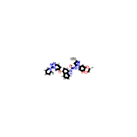 C[C@H](CO)Oc1cccc(-n2nc(C(C)(C)C)cc2NC(=O)N[C@H]2CC[C@@H](Oc3ccc4nnc(N5CCCC[C@@H]5C)n4c3)c3ccccc32)c1